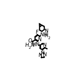 Cc1ncc(Nc2nc(N[C@@H]3CC4CC4C[C@H]3N)c(F)cc2C(N)=O)cc1-n1nccn1